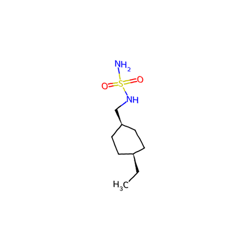 CC[C@H]1CC[C@@H](CNS(N)(=O)=O)CC1